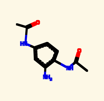 CC(=O)Nc1ccc(NC(C)=O)c(N)c1